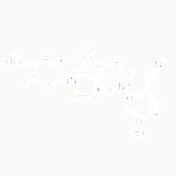 N#Cc1ccc(Br)cc1N1CCC[C@@]2(CCN(C3CCC(O)CC3)C2=O)C1